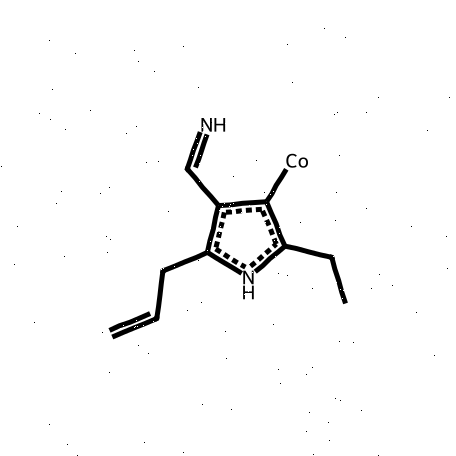 C=CCc1[nH]c(CC)[c]([Co])c1C=N